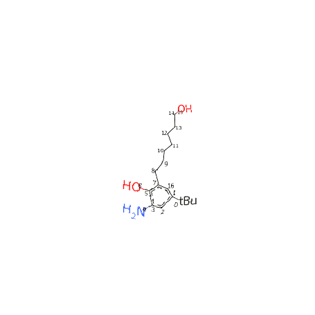 CC(C)(C)c1cc(N)c(O)c(CCCCCCCO)c1